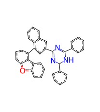 c1ccc(C2=NC(c3cc(-c4cccc5oc6ccccc6c45)c4ccccc4c3)=NC(c3ccccc3)N2)cc1